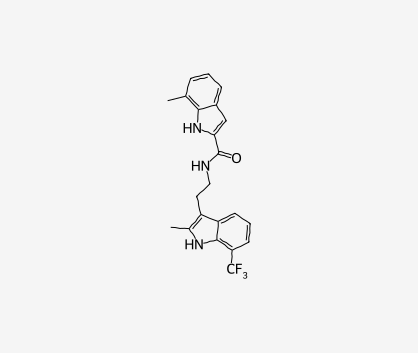 Cc1[nH]c2c(C(F)(F)F)cccc2c1CCNC(=O)c1cc2cccc(C)c2[nH]1